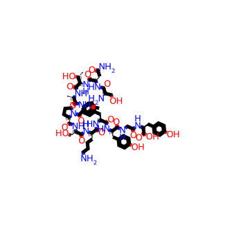 CC(C)C[C@H](NC(=O)[C@H](C)NC(=O)[C@@H](NC(=O)[C@H](CC(N)=O)NC(=O)[C@@H](N)CO)[C@@H](C)O)C(=O)N1CCC[C@H]1C(=O)N[C@@H](CO)C(=O)N[C@@H](CCCCN)C(=O)N[C@@H](Cc1ccccc1)C(=O)N[C@@H](Cc1ccc(O)cc1)C(=O)NCC(=O)N[C@@H](Cc1ccc(O)cc1)C(=O)O